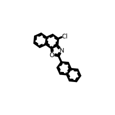 Clc1cc2ccccc2c2oc(-c3ccc4ccccc4c3)nc12